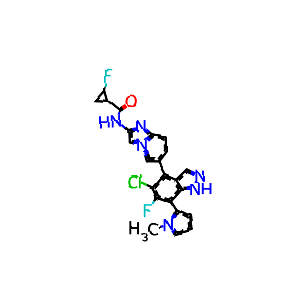 Cn1cccc1-c1c(F)c(Cl)c(-c2ccc3nc(NC(=O)C4CC4F)cn3c2)c2cn[nH]c12